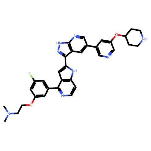 CN(C)CCOc1cc(F)cc(-c2nccc3[nH]c(-c4n[nH]c5ncc(-c6cncc(OC7CCNCC7)c6)cc45)cc23)c1